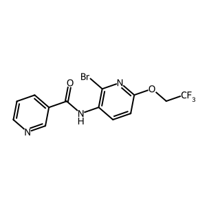 O=C(Nc1ccc(OCC(F)(F)F)nc1Br)c1cccnc1